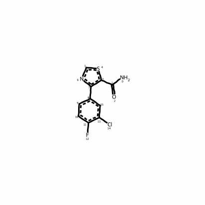 NC(=O)c1scnc1-c1ccc(F)c(Cl)c1